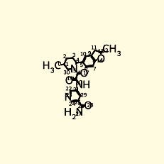 CC1CCC(c2ccc3c(c2)CC(C)O3)N(C(=O)C(=O)Nc2cncc(C(N)=O)c2)C1